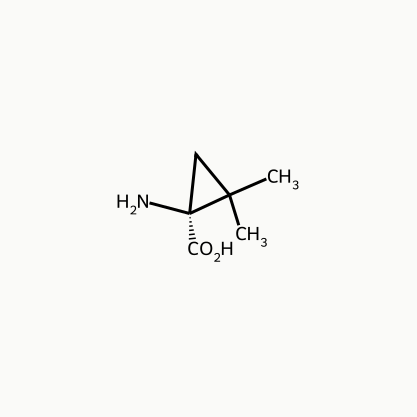 CC1(C)C[C@@]1(N)C(=O)O